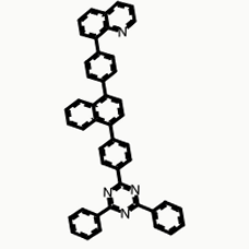 c1ccc(-c2nc(-c3ccccc3)nc(-c3ccc(-c4ccc(-c5ccc(-c6cccc7cccnc67)cc5)c5ccccc45)cc3)n2)cc1